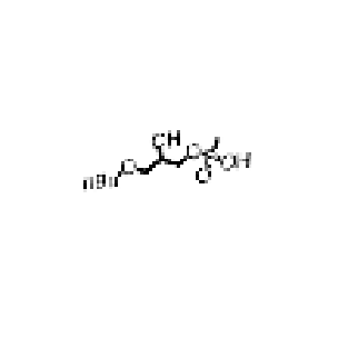 CCCCOCC(O)COP(C)(=O)O